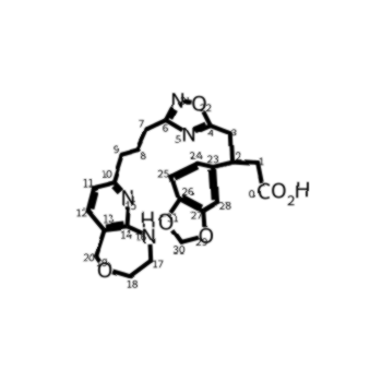 O=C(O)CC(Cc1nc(CCCc2ccc3c(n2)NCCOC3)no1)c1ccc2c(c1)OCO2